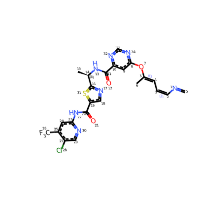 C=N/C=C\C=C(/C)Oc1cc(C(=O)N[C@H](C)c2ncc(C(=O)Nc3cc(C(F)(F)F)c(Cl)cn3)s2)ncn1